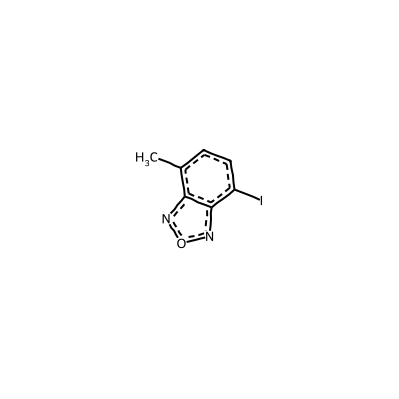 Cc1ccc(I)c2nonc12